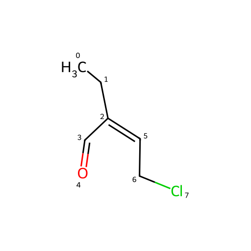 CCC(C=O)=CCCl